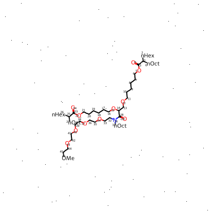 CCCCCCCCC(CCCCCC)C(=O)OCCCCCCOCC(OCCCCCCOC(=O)C(CCCCCC)CCCCCCCC)C(=O)N(CCCCCCCC)CCOCCOCCOCCOCCOC